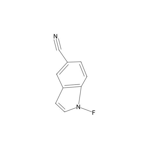 N#Cc1ccc2c(ccn2F)c1